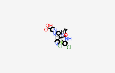 O=C(O)c1ccn2c3c(nc2c1)[C@@H]1[C@H](C3)N(CC2CC2)[C@]2(Cc3ccc(Cl)cc3NC2=O)[C@H]1c1ccnc(Cl)c1F